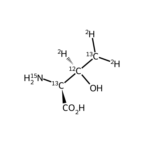 [2H][13CH]([2H])[12C@@]([2H])(O)[13C@H]([15NH2])[13C](=O)O